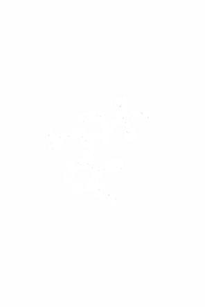 Cc1cccc(-c2cc(S(C)(=O)=O)ccc2C2CC2)c1C(F)(F)F